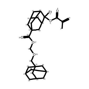 C=C(C)C(=O)OC1(CC)C2CC3CC1CC(C(=O)OCOCC14CC5CC(CC(C5)C1)C4)(C3)C2